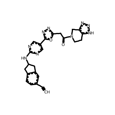 C#Cc1ccc2c(c1)CC(Nc1ncc(-c3nnc(CC(=O)N4CCc5[nH]nnc5C4)o3)cn1)C2